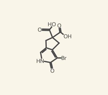 O=C(O)C1(C(=O)O)Cc2c[nH]c(=O)c(Br)c2C1